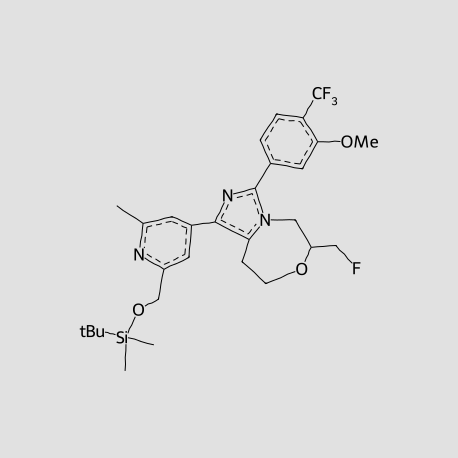 COc1cc(-c2nc(-c3cc(C)nc(CO[Si](C)(C)C(C)(C)C)c3)c3n2CC(CF)OCC3)ccc1C(F)(F)F